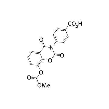 COC(=O)Oc1cccc2c(=O)n(-c3ccc(C(=O)O)cc3)c(=O)oc12